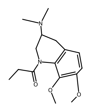 CCC(=O)N1CC(N(C)C)Cc2ccc(OC)c(OC)c21